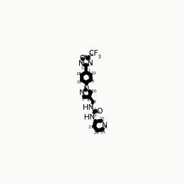 O=C(NCc1cnn(-c2ccc(-c3noc(C(F)(F)F)n3)cc2)c1)Nc1cccnc1